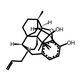 C=CCN1CC[C@]23c4c5ccc(O)c4O[C@H]2[C@@]2(C)CCC3(C[C@@H]2[C@](C)(O)C(C)(C)C)[C@H]1C5